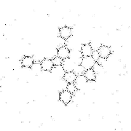 O=P1(c2ccccc2)c2ccccc2Oc2c(-c3cc(-n4c5ccc(-c6ccccc6)cc5c5cc(-c6ccccc6)ccc54)cc4c3oc3ccccc34)cccc21